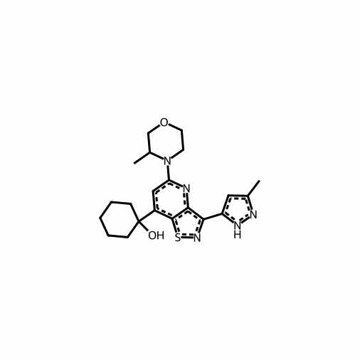 Cc1cc(-c2nsc3c(C4(O)CCCCC4)cc(N4CCOCC4C)nc23)[nH]n1